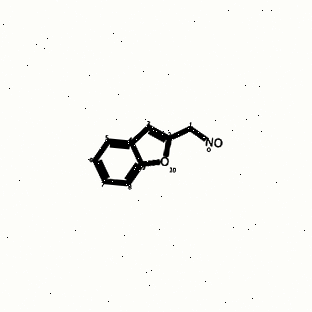 O=NCc1cc2ccccc2o1